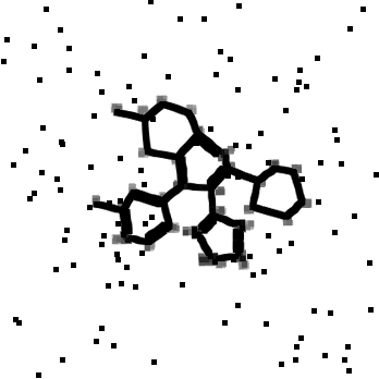 Cc1cc(-c2c3c(nc(C4CCCCC4)c2-c2nn[nH]n2)CCC(C)C3)ccn1